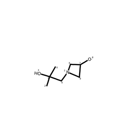 CC(C)(O)CN1CC([O])C1